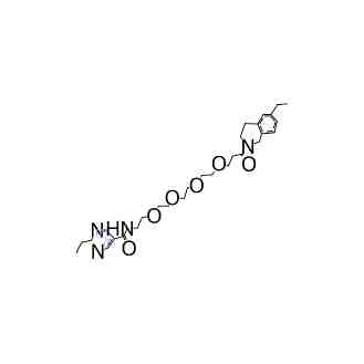 C=N/C=C(\C=N/CCC)C(=O)NCCOCCOCCOCCOCCC(=O)N1CCc2cc(CC)ccc2C1